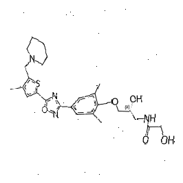 Cc1cc(-c2nc(-c3cc(C)c(OC[C@H](O)CNC(=O)CO)c(C)c3)no2)sc1CN1CCCCC1